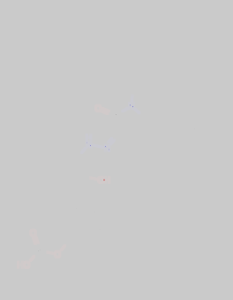 Cc1ccc(N2C(=O)C(=NNc3cccc(-c4cc(OC(=O)O)ccc4F)c3O)c3ccc(C(F)(F)F)cc32)cc1C